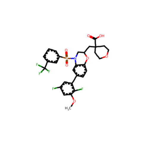 COc1cc(F)cc(-c2ccc3c(c2)N(S(=O)(=O)c2cccc(C(F)(F)F)c2)CC(CC2(C(=O)O)CCOCC2)O3)c1F